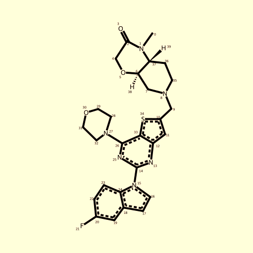 CN1C(=O)CO[C@@H]2CN(Cc3cc4nc(-n5ccc6cc(F)ccc65)nc(N5CCOCC5)c4s3)CC[C@H]21